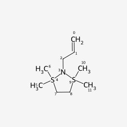 C=CCN1S(C)(C)CCS1(C)C